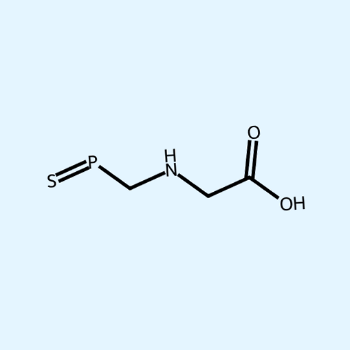 O=C(O)CNCP=S